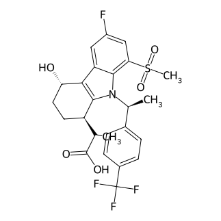 CC(C(=O)O)[C@H]1CC[C@H](O)c2c1n([C@@H](C)c1ccc(C(F)(F)F)cc1)c1c(S(C)(=O)=O)cc(F)cc21